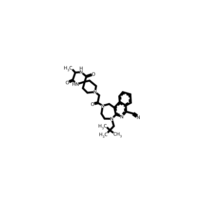 CC1NC(=O)C2(CCN(CC(=O)N3CCN(CC(C)(C)C)c4nc(C#N)c5ccccc5c4C3)CC2)NC1=O